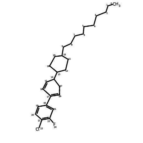 CCCCCCCCCCC1CCC(C2C=CC(c3ccc(Cl)c(F)c3)=CC2)CC1